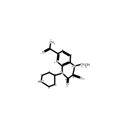 CC(=O)c1ccc2c(n1)n(C1CCNCC1)c(=O)c(=O)n2C.Cl